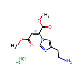 COC(=O)/C=C(/C(=O)OC)n1cnc(CCN)c1.Cl.Cl